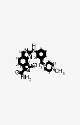 CN1CCN(Cc2cccc(Nc3ncc4c(n3)-c3c(c(C(N)=O)nn3C)CC4)c2)CC1